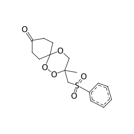 CC1(CS(=O)(=O)c2ccccc2)COC2(CCC(=O)CC2)OO1